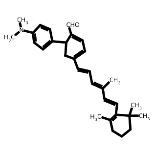 CC1=C(/C=C/C(C)=C/C=C/C2=CC=C(C=O)C(c3ccc(N(C)C)cc3)C2)C(C)(C)CCC1